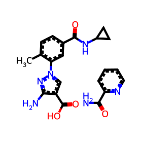 Cc1ccc(C(=O)NC2CC2)cc1-n1cc(C(=O)O)c(N)n1.NC(=O)c1ccccn1